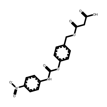 O=C(O)CC(=O)OCc1ccc(OC(=O)Nc2ccc([N+](=O)[O-])cc2)cc1